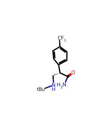 CC(C)(C)NC[C@@H](C(N)=O)c1ccc(C(F)(F)F)cc1